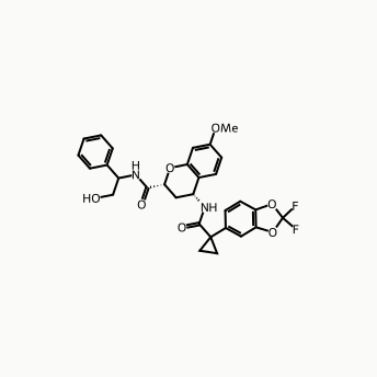 COc1ccc2c(c1)O[C@@H](C(=O)NC(CO)c1ccccc1)C[C@H]2NC(=O)C1(c2ccc3c(c2)OC(F)(F)O3)CC1